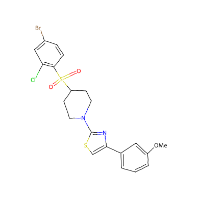 COc1cccc(-c2csc(N3CCC(S(=O)(=O)c4ccc(Br)cc4Cl)CC3)n2)c1